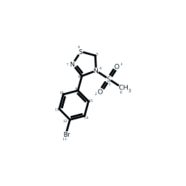 CS(=O)(=O)N1CSN=C1c1ccc(Br)cc1